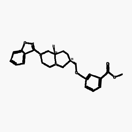 COC(=O)c1cccc(OC[C@@H]2CC[C@H]3CN(c4noc5ccccc45)CCN3C2)c1